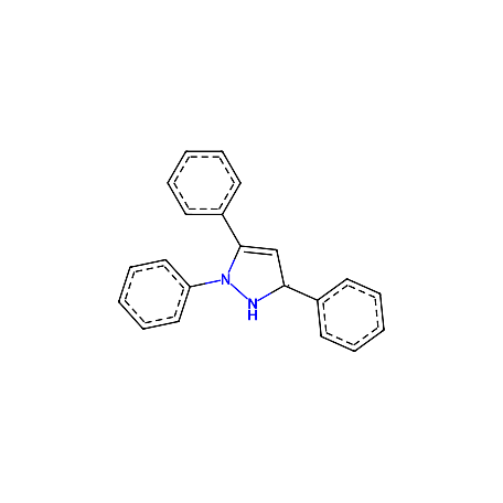 C1=C(c2ccccc2)N(c2ccccc2)N[C]1c1ccccc1